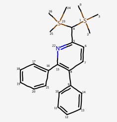 CS(C)(C)C(c1ccc(-c2ccccc2)c(-c2ccccc2)n1)S(C)(C)C